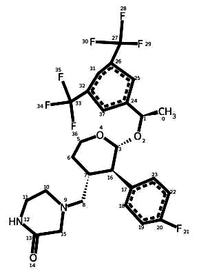 C[C@@H](O[C@H]1OCC[C@@H](CN2CCNC(=O)C2)[C@@H]1c1ccc(F)cc1)c1cc(C(F)(F)F)cc(C(F)(F)F)c1